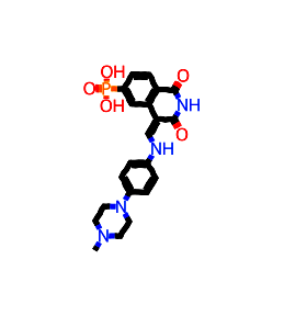 CN1CCN(c2ccc(NC=C3C(=O)NC(=O)c4ccc(P(=O)(O)O)cc43)cc2)CC1